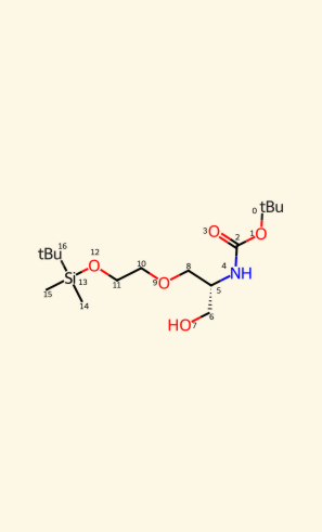 CC(C)(C)OC(=O)N[C@H](CO)COCCO[Si](C)(C)C(C)(C)C